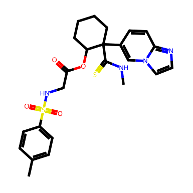 CNC(=S)C1(c2ccc3nccn3c2)CCCCC1OC(=O)CNS(=O)(=O)c1ccc(C)cc1